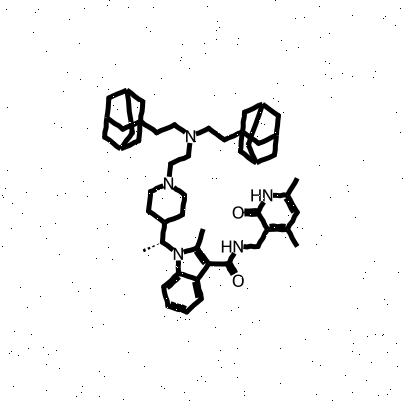 Cc1cc(C)c(CNC(=O)c2c(C)n([C@H](C)C3CCN(CCN(CCC45CC6CC(CC(C6)C4)C5)CCC45CC6CC(CC(C6)C4)C5)CC3)c3ccccc23)c(=O)[nH]1